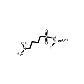 CCCCCCCC[S+]([O-])NS(=O)(=O)CCCCN(C)C